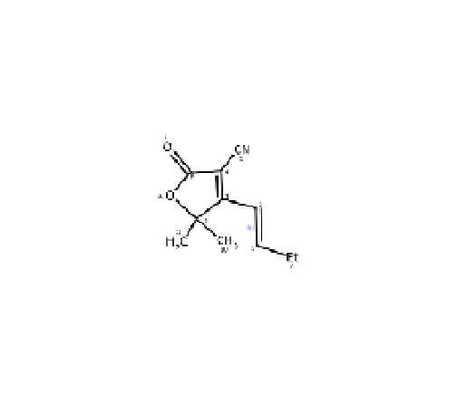 CC/C=C/C1=C(C#N)C(=O)OC1(C)C